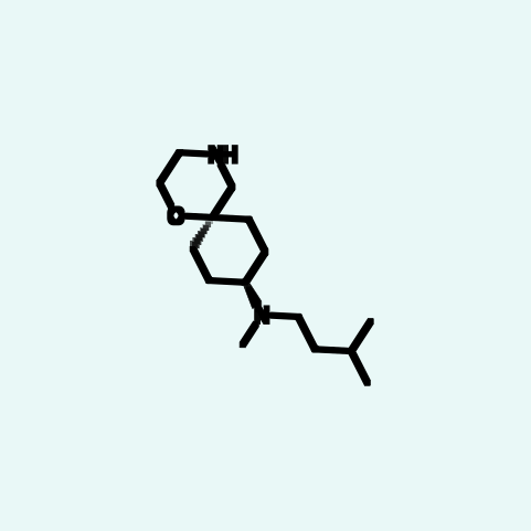 CC(C)CCN(C)[C@H]1CC[C@@]2(CC1)CNCCO2